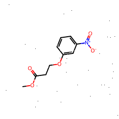 COC(=O)CCOc1cccc([N+](=O)[O-])c1